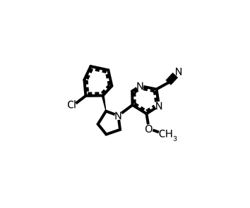 COc1nc(C#N)ncc1N1CCC[C@H]1c1ccccc1Cl